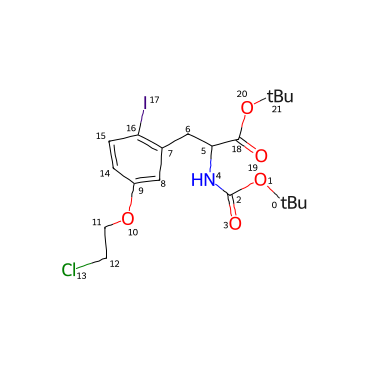 CC(C)(C)OC(=O)NC(Cc1cc(OCCCl)ccc1I)C(=O)OC(C)(C)C